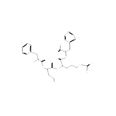 CSCCC(NC(=O)C(N)Cc1ccccc1)C(=O)NC(CCCNC(=N)N)C(=O)NC(Cc1ccccc1)C(N)=O